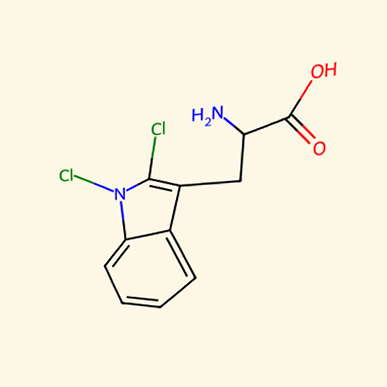 NC(Cc1c(Cl)n(Cl)c2ccccc12)C(=O)O